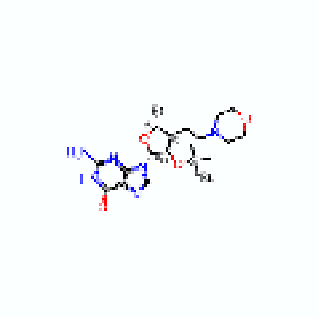 CC[C@H]1O[C@@H](n2cnc3c(=O)[nH]c(N)nc32)[C@H](O[Si](C)(C)C(C)(C)C)[C@@H]1CCN1CCOCC1